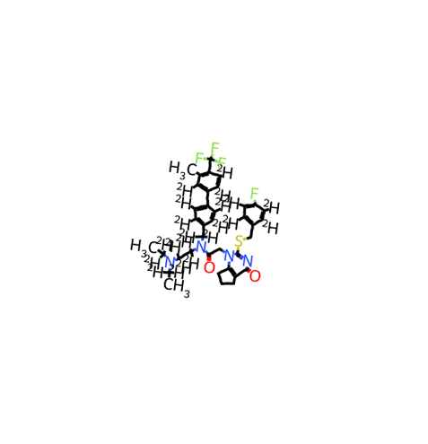 [2H]c1c([2H])c(CSc2nc(=O)c3c(n2CC(=O)N(C([2H])([2H])c2c([2H])c([2H])c(-c4c([2H])c([2H])c(C(F)(F)F)c(C)c4[2H])c([2H])c2[2H])C([2H])([2H])C([2H])([2H])N(C([2H])([2H])C)C([2H])([2H])C)CCC3)c([2H])c([2H])c1F